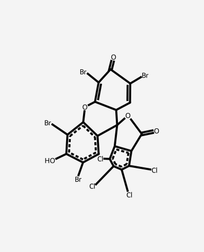 O=C1C(Br)=CC2C(=C1Br)Oc1c(cc(Br)c(O)c1Br)C21OC(=O)c2c(Cl)c(Cl)c(Cl)c(Cl)c21